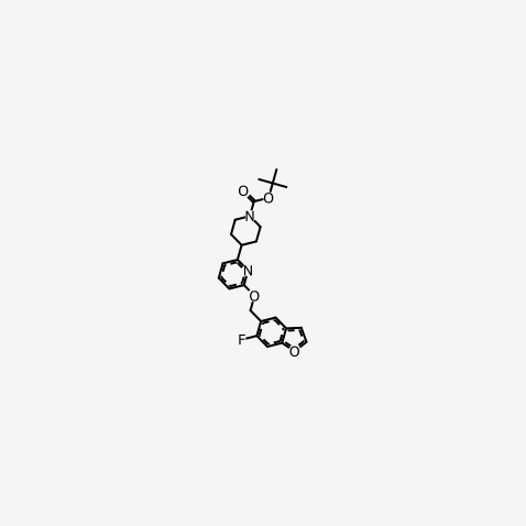 CC(C)(C)OC(=O)N1CCC(c2cccc(OCc3cc4ccoc4cc3F)n2)CC1